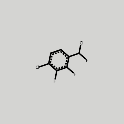 Fc1c(Cl)ccc(C(F)Cl)c1F